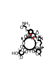 CC[C@H]1OC(=O)[C@H](C)[C@@H](O[C@H]2C[C@@](C)(OC)[C@@H](O)[C@H](C)O2)[C@H](C)[C@@H](O[C@@H]2O[C@H](C)C[C@H](N(C)CCc3cn([C@H](CF)[C@H](OC)c4ccc(SCC(N)=O)cc4)nn3)[C@H]2O)[C@](C)(O)C[C@@H](C)CN(C)[C@H](C)[C@@H](O)[C@]1(C)O